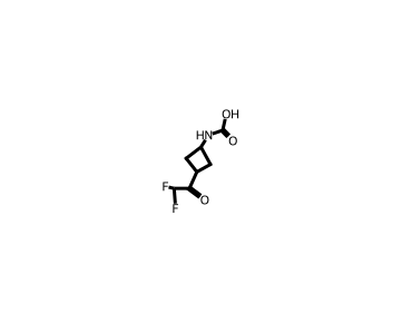 O=C(O)NC1CC(C(=O)C(F)F)C1